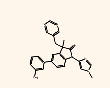 Cn1cnc(N2C(=O)C(C)(Cc3cncnc3)c3cc(-c4cccc(O)c4)ccc32)c1